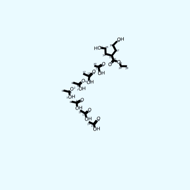 CC(=O)O.CC(=O)O.CC(=O)O.CC(=O)O.CC(=O)O.CC(=O)O.CC(=O)O.CCOC(=O)C(CCO)CCO